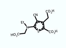 CCN(CC(=O)O)c1sc(C(=O)O)c(CC(=O)O)c1C#N